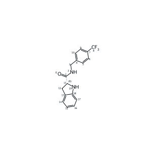 O=C(NCc1ccc(C(F)(F)F)cc1)[C@H]1Cc2ccccc2N1